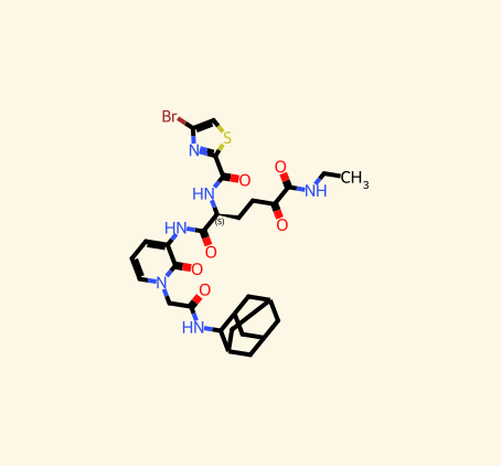 CCNC(=O)C(=O)CC[C@H](NC(=O)c1nc(Br)cs1)C(=O)Nc1cccn(CC(=O)NC2C3CC4CC(C3)CC2C4)c1=O